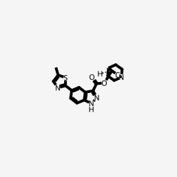 Cc1cnc(-c2ccc3[nH]nc(C(=O)O[C@@H]4CN5CCC4CC5)c3c2)s1